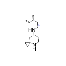 C=CC(=C)/C=C\NC1CCNC2(CC2)C1